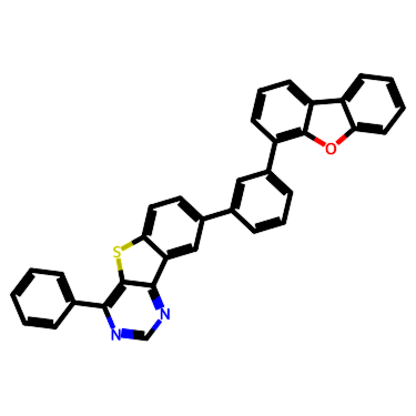 c1ccc(-c2ncnc3c2sc2ccc(-c4cccc(-c5cccc6c5oc5ccccc56)c4)cc23)cc1